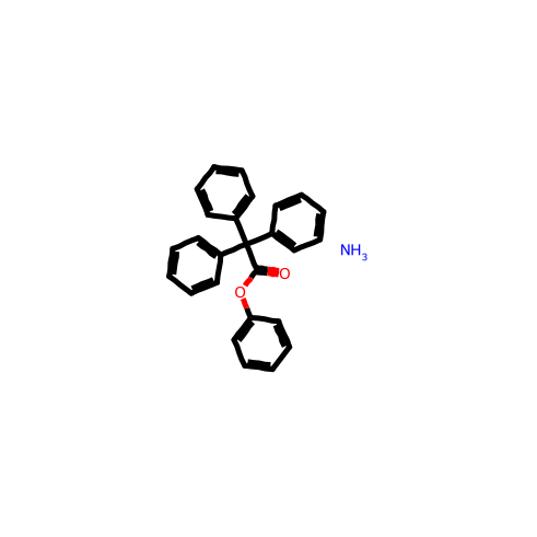 N.O=C(Oc1ccccc1)C(c1ccccc1)(c1ccccc1)c1ccccc1